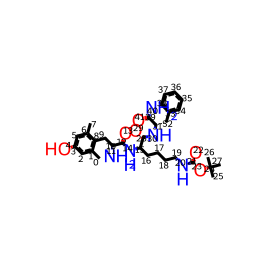 Cc1cc(O)cc(C)c1C[C@@H](N)C(=O)NC(CCCCNC(=O)OC(C)(C)C)C(=O)N[C@@H](Cc1ccccc1)C(N)=O